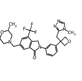 CC1CN(Cc2cc3c(c(C(F)(F)F)c2)CN(c2cccc(C4(Cc5nncn5C)COC4)c2)C3=O)CCO1